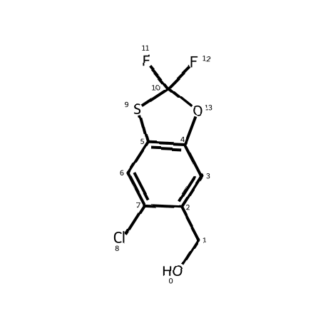 OCc1cc2c(cc1Cl)SC(F)(F)O2